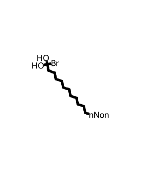 CCCCCCCCCCCCCCCCCCCCC(O)(O)Br